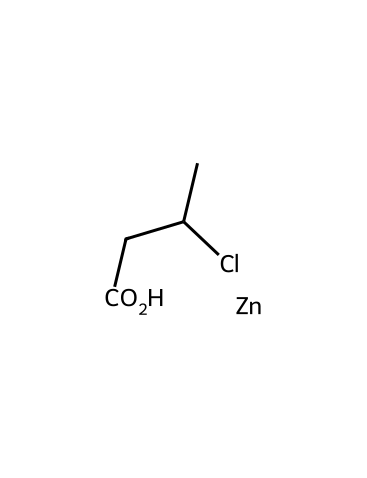 CC(Cl)CC(=O)O.[Zn]